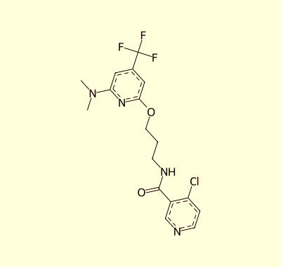 CN(C)c1cc(C(F)(F)F)cc(OCCCNC(=O)c2cnccc2Cl)n1